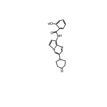 O=C(Nc1ccn2cc(N3CCNCC3)cnc12)c1ccccc1O